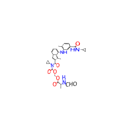 CC1=C2C(Nc3cc(C(=O)NC4CC4)ccc3C)=CC=CC2C=C1C(=O)N(C(=O)OCOC(=O)C(C)NC=O)C1CC1